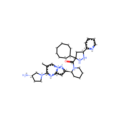 Cc1cn2nc([C@@H]3CCCCN3C(=O)C3(C4CCCCCCC4)CC(c4ccccn4)NN3)cc2nc1N1CC[C@H](N)C1